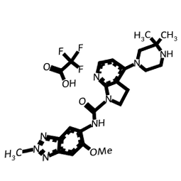 COc1cc2nn(C)nc2cc1NC(=O)N1CCc2c(N3CCNC(C)(C)C3)ccnc21.O=C(O)C(F)(F)F